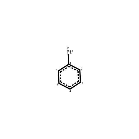 [Pt+][c]1ccccc1